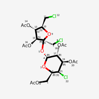 CC(=O)OC[C@H]1O[C@H](O[C@]2(CCl)O[C@H](CCl)[C@@H](OC(C)=O)[C@@H]2OC(C)=O)[C@H](OC(C)=O)[C@@H](OC(C)=O)[C@H]1Cl